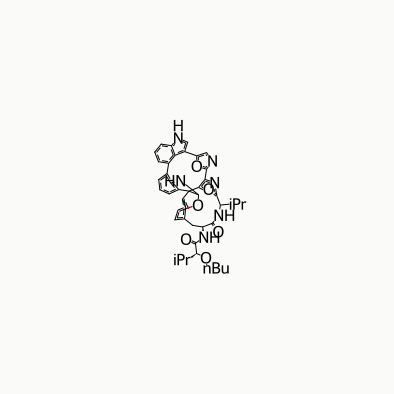 CCCCO[C@H](C(=O)N[C@H]1Cc2ccc3c(c2)C24c5cccc(c5NC2O3)-c2cccc3[nH]cc(c23)-c2cnc(o2)-c2nc(oc24)C(C(C)C)NC1=O)C(C)C